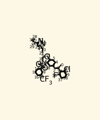 C/C(=C\c1ccc2c(c1)N(S(=O)(=O)c1cccc(C(F)(F)F)c1)C[C@H](CCn1cc(S(C)(C)C)nn1)O2)c1c(F)cccc1Cl